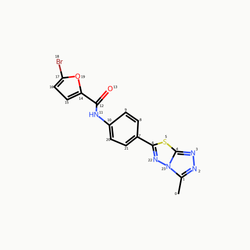 Cc1nnc2sc(-c3ccc(NC(=O)c4ccc(Br)o4)cc3)nn12